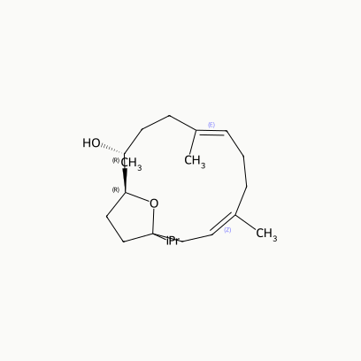 C/C1=C/CC2(C(C)C)CC[C@@](C)(O2)[C@H](O)CC/C(C)=C/CC1